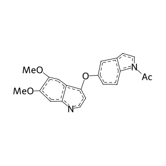 COc1cc2nccc(Oc3ccc4c(ccn4C(C)=O)c3)c2cc1OC